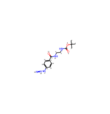 CC(C)(C)OC(=O)NCCNC(=O)c1ccc(N=[N+]=[N-])cc1